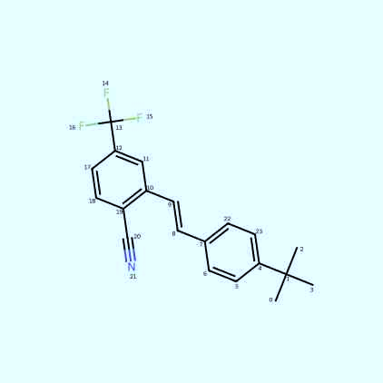 CC(C)(C)c1ccc(/C=C/c2cc(C(F)(F)F)ccc2C#N)cc1